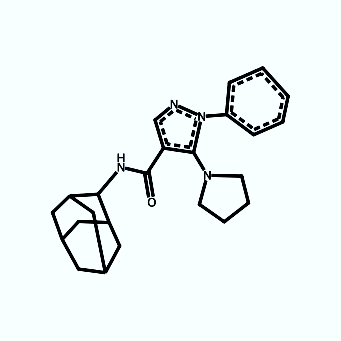 O=C(NC1C2CC3CC(C2)CC1C3)c1cnn(-c2ccccc2)c1N1CCCC1